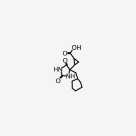 O=C1NC(=O)C(CC2CCCCC2)(C2CC2C(=O)O)N1